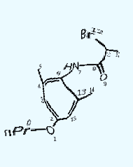 CCCOc1cc(C)c(NC(=O)C(C)Br)c(C)c1